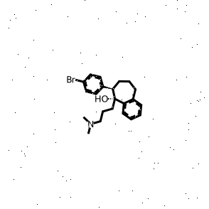 CN(C)CCC[C@]1(O)c2ccccc2CCC[C@@H]1c1ccc(Br)cc1